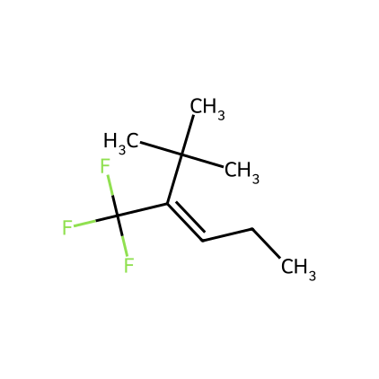 CC/C=C(\C(C)(C)C)C(F)(F)F